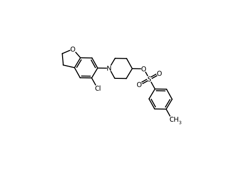 Cc1ccc(S(=O)(=O)OC2CCN(c3cc4c(cc3Cl)CCO4)CC2)cc1